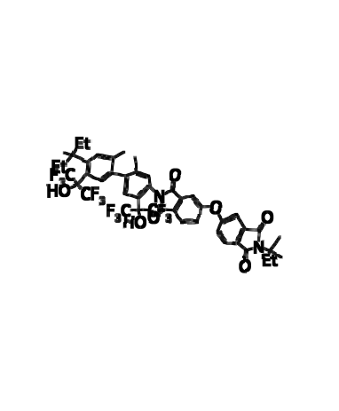 CCC(C)(CC)c1cc(C)c(-c2cc(C(O)(C(F)(F)F)C(F)(F)F)c(N3C(=O)c4ccc(Oc5ccc6c(c5)C(=O)N(C(C)(C)CC)C6=O)cc4C3=O)cc2C)cc1C(O)(C(F)(F)F)C(F)(F)F